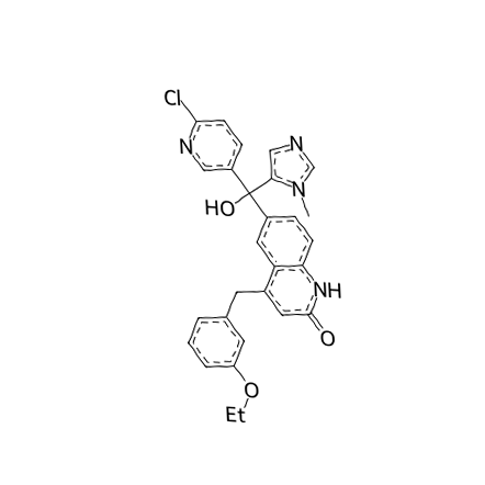 CCOc1cccc(Cc2cc(=O)[nH]c3ccc(C(O)(c4ccc(Cl)nc4)c4cncn4C)cc23)c1